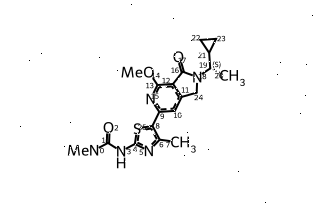 CNC(=O)Nc1nc(C)c(-c2cc3c(c(OC)n2)C(=O)N([C@@H](C)C2CC2)C3)s1